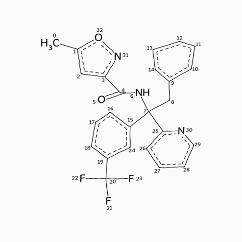 Cc1cc(C(=O)NC(Cc2ccccc2)(c2cccc(C(F)(F)F)c2)c2ccccn2)no1